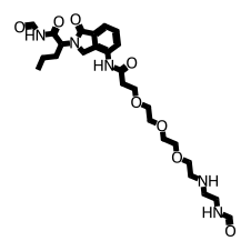 CCCC(C(=O)NC=O)N1Cc2c(NC(=O)CCOCCOCCOCCNCCNC=O)cccc2C1=O